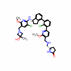 COc1nc(-c2cccc(-c3cccc4c3CC[C@@H]4Nc3nc(OC)c(CN4CC(C)(O)C4)cc3Cl)c2Cl)ccc1CNC[C@@H]1CCC(=O)N1